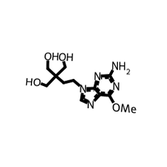 COc1nc(N)nc2c1ncn2CCC(CO)(CO)CO